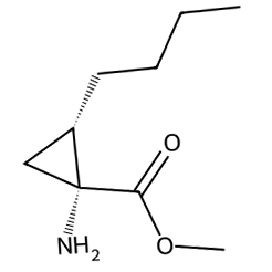 CCCC[C@H]1C[C@]1(N)C(=O)OC